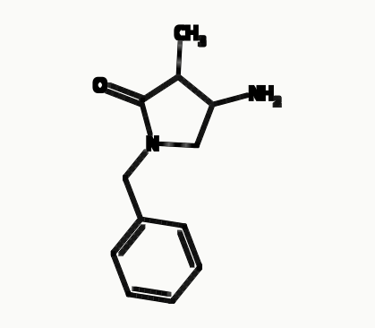 CC1C(=O)N(Cc2ccccc2)CC1N